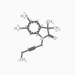 CCC#CCN1C(=O)C(C)(C)c2cc(N)c(N)cc21